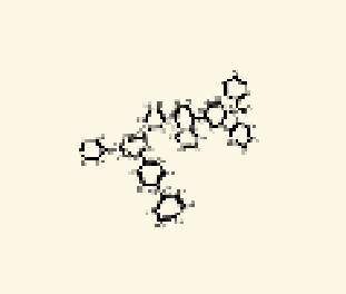 O=P(c1ccccc1)(c1ccccc1)c1ccc(-c2ccc(-c3cccc(-c4nc(-c5ccccc5)nc(-c5ccc(-c6ccccc6)cc5)n4)c3)c3ccccc23)cc1